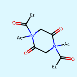 CCC(=O)[N+]1(C(C)=O)CC(=O)[N+](C(C)=O)(C(=O)CC)CC1=O